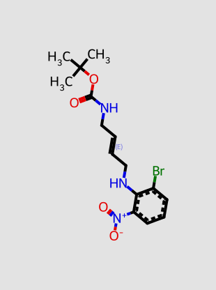 CC(C)(C)OC(=O)NC/C=C/CNc1c(Br)cccc1[N+](=O)[O-]